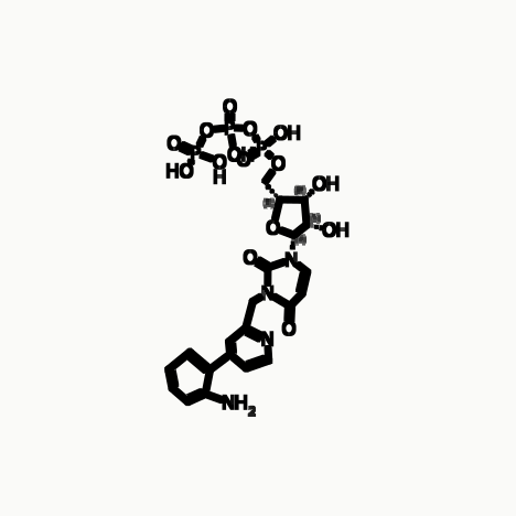 Nc1ccccc1-c1ccnc(Cn2c(=O)ccn([C@@H]3O[C@H](COP(=O)(O)OP(=O)(O)OP(=O)(O)O)[C@H](O)[C@@H]3O)c2=O)c1